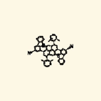 Cc1cccc(C)c1-c1cc2c3c(cc4c(-c5c(C)cccc5C)cc5c6c(cc1c3c46)B1c3ccccc3-c3cc(C#N)cc-5c31)B1c3ccccc3-c3cc(C#N)cc-2c31